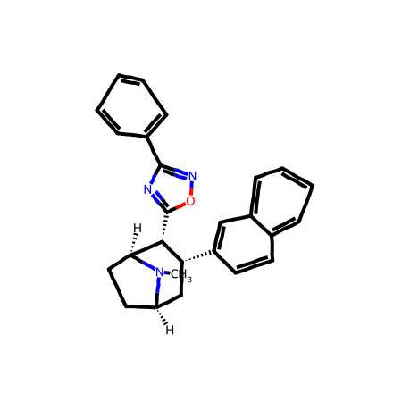 CN1[C@@H]2CC[C@H]1[C@H](c1nc(-c3ccccc3)no1)[C@H](c1ccc3ccccc3c1)C2